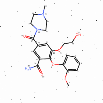 COc1ccccc1Oc1c(OCCO)cc(C(=O)N2CCN(C)CC2)cc1C(N)=O